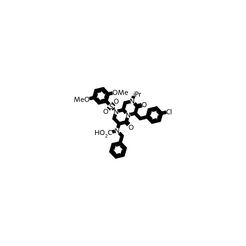 COc1ccc(OC)c(S(=O)(=O)N2CC(N(Cc3ccccc3)C(=O)O)C(=O)N3C(Cc4ccc(Cl)cc4)C(=O)N(C(C)C)CC32)c1